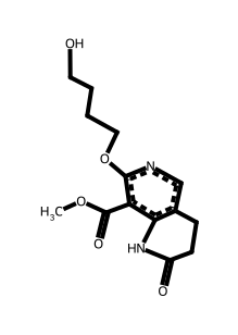 COC(=O)c1c(OCCCCO)ncc2c1NC(=O)CC2